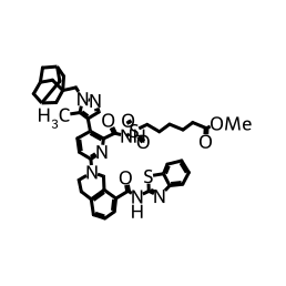 COC(=O)CCCCCS(=O)(=O)NC(=O)c1nc(N2CCc3cccc(C(=O)Nc4nc5ccccc5s4)c3C2)ccc1-c1cnn(CC23CC4CC(CC(C4)C2)C3)c1C